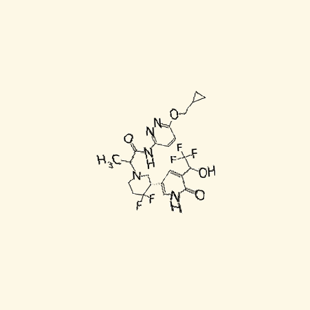 CC(C(=O)Nc1ccc(OCC2CC2)nn1)N1CCC(F)(F)[C@@H](c2c[nH]c(=O)c(C(O)C(F)(F)F)c2)C1